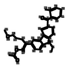 CCn1c2ccc(C(=O)c3ccccc3C)cc2c2cc(/C(CCCOC)=N/OC(C)=O)ccc21